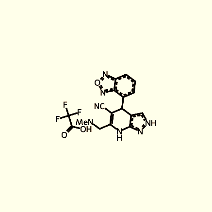 CNCC1=C(C#N)C(c2cccc3nonc23)c2c[nH]nc2N1.O=C(O)C(F)(F)F